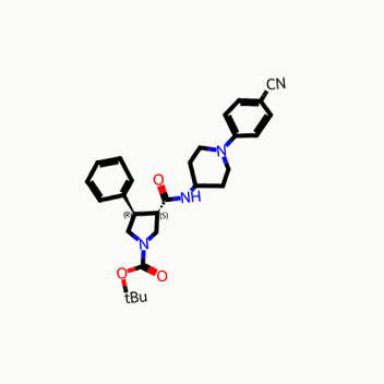 CC(C)(C)OC(=O)N1C[C@@H](C(=O)NC2CCN(c3ccc(C#N)cc3)CC2)[C@H](c2ccccc2)C1